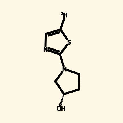 [2H]c1cnc(N2CC[C@H](O)C2)s1